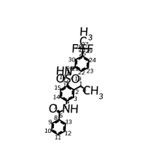 CCc1cc(NC(=O)c2ccccc2)ccc1S(=O)(=O)Nc1cccc(C(C)(F)F)c1